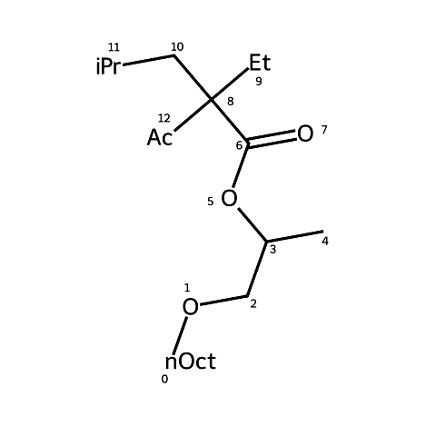 CCCCCCCCOCC(C)OC(=O)C(CC)(CC(C)C)C(C)=O